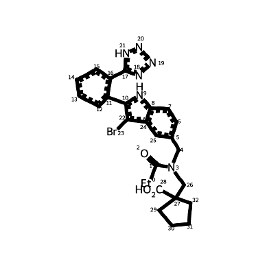 CCC(=O)N(Cc1ccc2[nH]c(-c3ccccc3-c3nnn[nH]3)c(Br)c2c1)CC1(C(=O)O)CCCC1